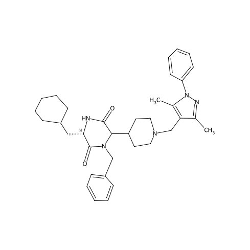 Cc1nn(-c2ccccc2)c(C)c1CN1CCC(C2C(=O)N[C@@H](CC3CCCCC3)C(=O)N2Cc2ccccc2)CC1